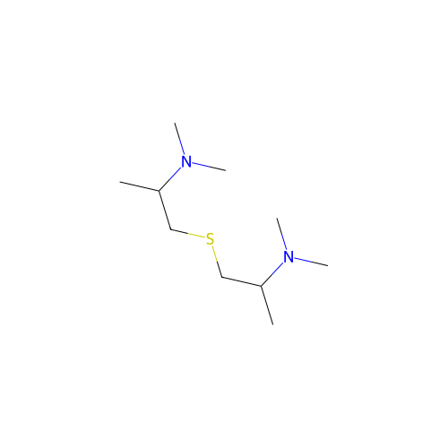 CC(CSCC(C)N(C)C)N(C)C